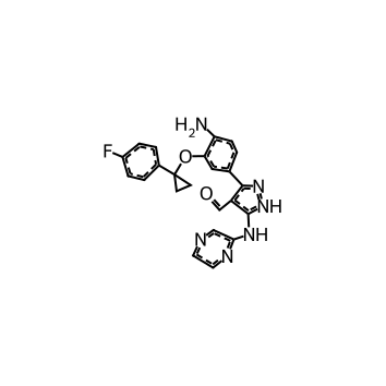 Nc1ccc(-c2n[nH]c(Nc3cnccn3)c2C=O)cc1OC1(c2ccc(F)cc2)CC1